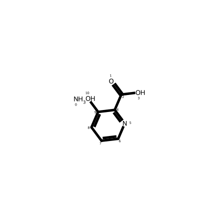 N.O=C(O)c1ncccc1O